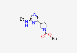 CCNc1cncc(C2CCN(C(=O)OC(C)(C)C)C2)n1